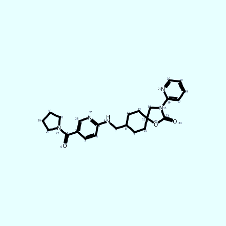 O=C(c1ccc(NCC2CCC3(CC2)CN(c2ccccn2)C(=O)O3)nc1)N1CCCC1